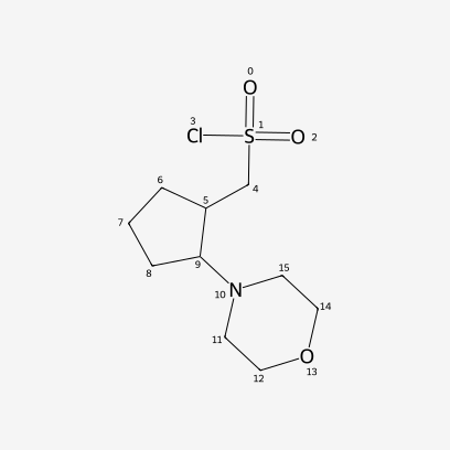 O=S(=O)(Cl)CC1CCCC1N1CCOCC1